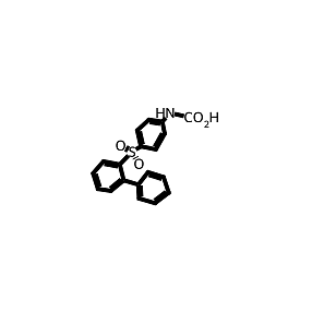 O=C(O)Nc1ccc(S(=O)(=O)c2ccccc2-c2ccccc2)cc1